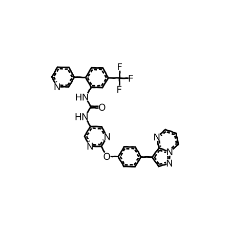 O=C(Nc1cnc(Oc2ccc(-c3cnn4cccnc34)cc2)nc1)Nc1cc(C(F)(F)F)ccc1-c1cccnc1